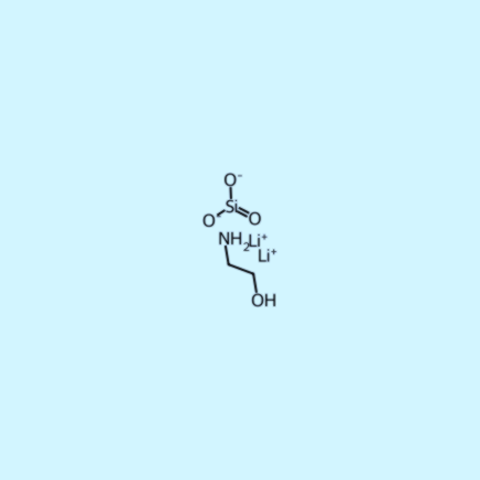 NCCO.O=[Si]([O-])[O-].[Li+].[Li+]